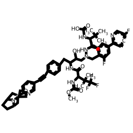 COC(=O)NC(C(=O)NC(Cc1ccc(C#Cc2ccc(N3CC4CCC(C3)N4C3COC3)nc2)cc1)C(O)CN(Cc1c(F)cc(-c2ccc(F)cn2)cc1F)NC(=O)C(NC(=O)O)C(C)(C)C)C(C)(C)C(F)(F)F